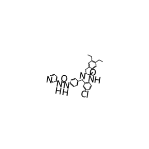 CCc1ccc(CC2N=C(c3ccc(NC(=O)Nc4cccnc4)cc3)c3cc(Cl)ccc3NC2=O)cc1CC